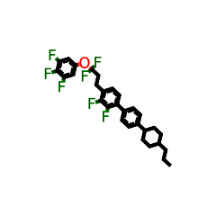 CCCC1CCC(c2ccc(-c3ccc(CCC(F)(F)Oc4cc(F)c(F)c(F)c4)c(F)c3F)cc2)CC1